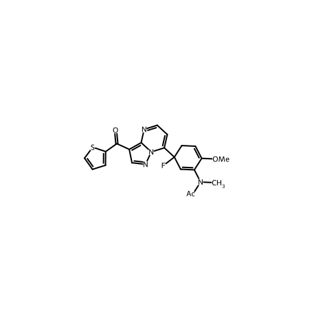 COC1=CCC(F)(c2ccnc3c(C(=O)c4cccs4)cnn23)C=C1N(C)C(C)=O